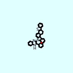 C1=CC2=NC(n3c4ccccc4c4c5c(ccc43)-c3sc4ccccc4c3CC5)=C(c3ccccc3)NC2C=C1